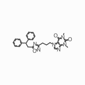 Cn1c(=O)c2c(ncn2CCCc2noc(CC(c3ccccc3)c3ccccc3)n2)n(C)c1=O